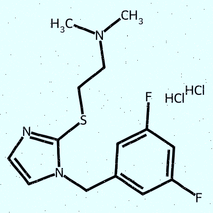 CN(C)CCSc1nccn1Cc1cc(F)cc(F)c1.Cl.Cl